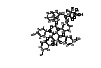 O=C(Oc1c(Oc2ccc(I)cc2)c(Oc2ccc(I)cc2)c(O)c(Oc2ccc(I)cc2)c1Oc1ccc(I)cc1)OC12CC3CC(CC(COC(=O)C(F)(F)S(=O)(=O)O)(C3)C1)C2